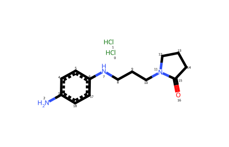 Cl.Cl.Nc1ccc(NCCCN2CCCC2=O)cc1